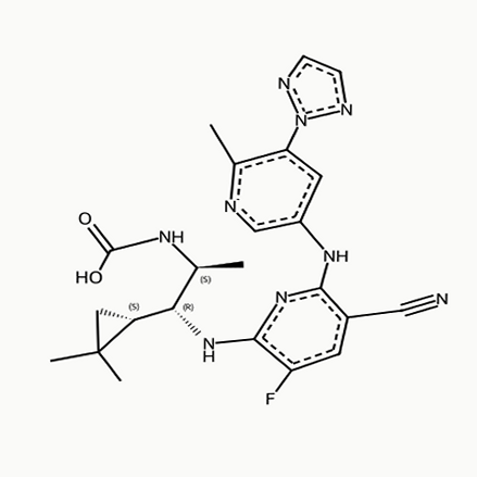 Cc1ncc(Nc2nc(N[C@@H]([C@H](C)NC(=O)O)[C@H]3CC3(C)C)c(F)cc2C#N)cc1-n1nccn1